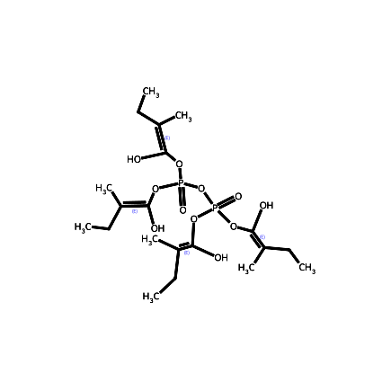 CC/C(C)=C(\O)OP(=O)(O/C(O)=C(\C)CC)OP(=O)(O/C(O)=C(\C)CC)O/C(O)=C(\C)CC